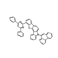 c1ccc(-c2cc(-c3ccccc3)nc(-c3cccc4c3sc3c4ccc4c3c3ccccc3n4-c3cc4ccccc4c4ccccc34)n2)cc1